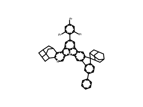 CC(C)c1cc(C(C)C)c(-c2cc3c4cc5c(cc4n4c6cnc7c(c6c(c2)c34)C2CC3CC4CC7C34C2)-c2cc(-c3ccccc3)ccc2C52C3CC4CC(C3)CC2C4)c(C(C)C)c1